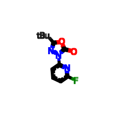 CC(C)(C)c1nn(-c2cccc(F)n2)c(=O)o1